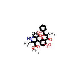 COC(=O)C1=C(C)NC(C)=C(C(=O)O)C1c1cccc2c(=O)c(C)c(-c3ccccc3)oc12.O